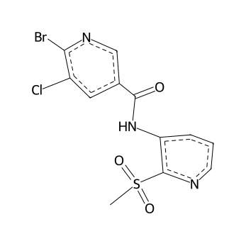 CS(=O)(=O)c1ncccc1NC(=O)c1cnc(Br)c(Cl)c1